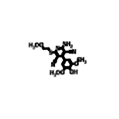 COCCSc1nc(N)c(C#N)c(-c2cc(OC)c(O)c(OC)c2)c1C#N